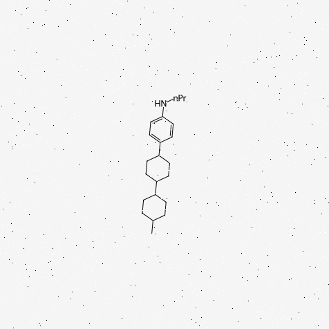 CCCNc1ccc(C2CCC(C3CCC(C)CC3)CC2)cc1